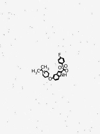 CC(C)N1CCC(Oc2ccc3[nH]c(C(=O)S(=O)(=O)c4ccc(F)cc4)cc3c2)CC1